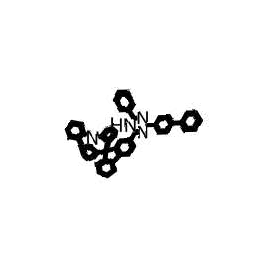 c1ccc(-c2ccc(C3=NC(c4ccccc4)NC(c4ccc5c(c4)C4(c6ccccc6-5)c5ccccc5-n5c6ccccc6c6cccc4c65)=N3)cc2)cc1